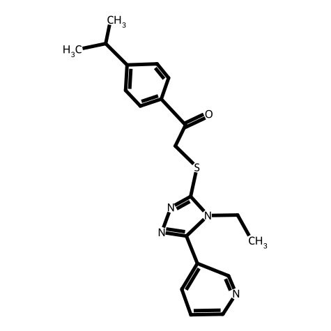 CCn1c(SCC(=O)c2ccc(C(C)C)cc2)nnc1-c1cccnc1